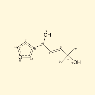 CC(C)(O)C=CC(O)c1ccoc1